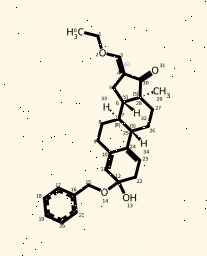 CCO/C=C1\C[C@H]2[C@@H]3CCC4=CC(O)(OCc5ccccc5)CC=C4[C@H]3CC[C@]2(C)C1=O